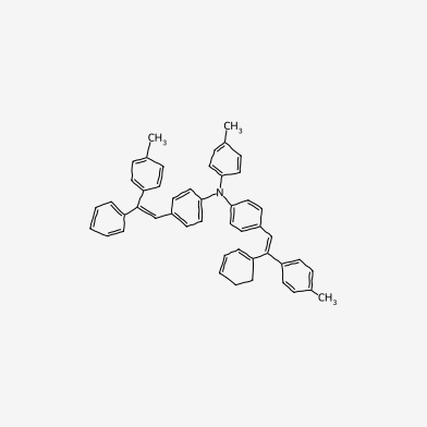 Cc1ccc(C(=Cc2ccc(N(c3ccc(C)cc3)c3ccc(C=C(c4ccccc4)c4ccc(C)cc4)cc3)cc2)C2=CC=CCC2)cc1